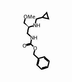 COC[C@H](CNC(=O)OCc1ccccc1)NCC1CC1